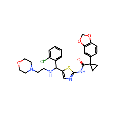 O=C(Nc1ncc(C(NCCN2CCOCC2)c2ccccc2Cl)s1)C1(c2ccc3c(c2)OCO3)CC1